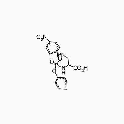 CC(C)CC(NP(=O)(Oc1ccccc1)Oc1ccc([N+](=O)[O-])cc1)C(=O)O